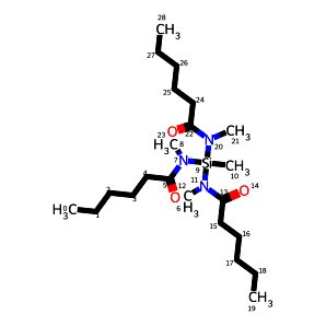 CCCCCC(=O)N(C)[Si](C)(N(C)C(=O)CCCCC)N(C)C(=O)CCCCC